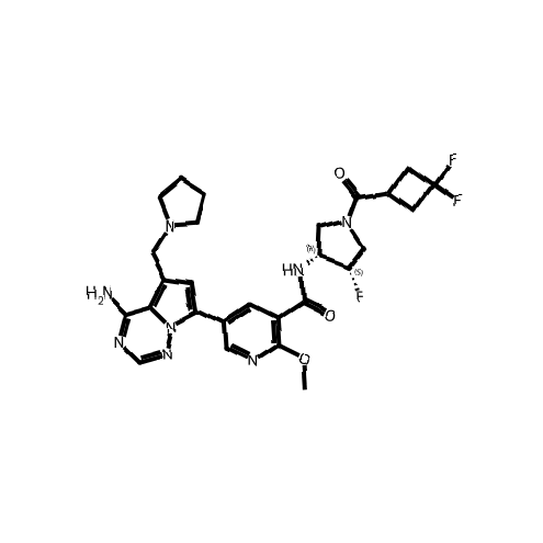 COc1ncc(-c2cc(CN3CCCC3)c3c(N)ncnn23)cc1C(=O)N[C@@H]1CN(C(=O)C2CC(F)(F)C2)C[C@@H]1F